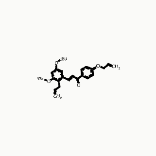 C=CCOc1ccc(C(=O)C=Cc2cc(OC(C)(C)C)cc(OC(C)(C)C)c2CC=C)cc1